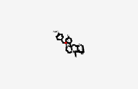 COc1ccc(CC(=O)N2CCN3C(=O)c4cccnc4CC23c2ccc(Cl)cc2)cc1